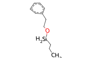 CCC[SiH2]OCCc1ccccc1